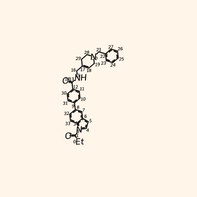 CCC(=O)n1ccc2cc(-c3ccc(C(=O)NCC4=CCN(Cc5ccccc5)CC4)cc3)ccc21